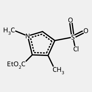 CCOC(=O)c1c(C)c(S(=O)(=O)Cl)cn1C